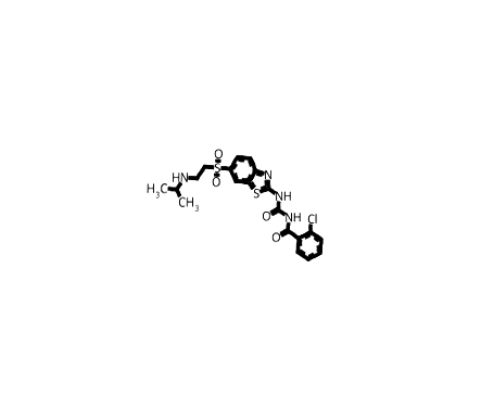 CC(C)NCCS(=O)(=O)c1ccc2nc(NC(=O)NC(=O)c3ccccc3Cl)sc2c1